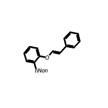 CCCCCCCCCc1ccccc1OC=Cc1ccccc1